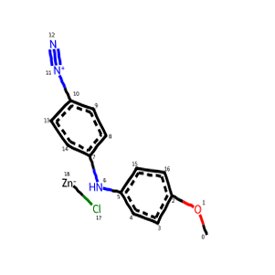 COc1ccc(Nc2ccc([N+]#N)cc2)cc1.[Cl][Zn-]